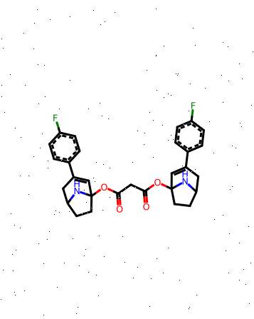 O=C(CC(=O)OC12C=C(c3ccc(F)cc3)CC(CC1)N2)OC12C=C(c3ccc(F)cc3)CC(CC1)N2